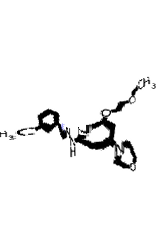 CCOCCOc1cc(N2CCOCC2)cc(N/N=C/c2cccc(C)c2)n1